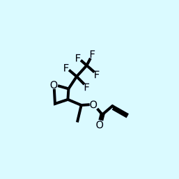 C=CC(=O)OC(C)C1COC1C(F)(F)C(F)(F)F